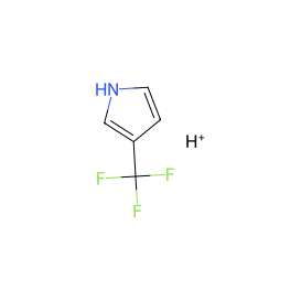 FC(F)(F)c1cc[nH]c1.[H+]